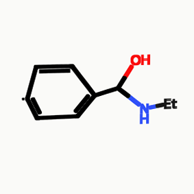 CCNC(O)c1cc[c]cc1